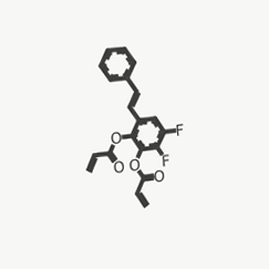 C=CC(=O)Oc1c(C=Cc2ccccc2)cc(F)c(F)c1OC(=O)C=C